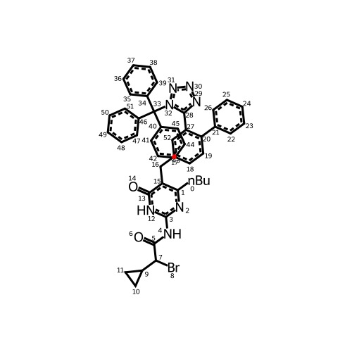 CCCCc1nc(NC(=O)C(Br)C2CC2)[nH]c(=O)c1Cc1ccc(-c2ccccc2)c(-c2nnnn2C(c2ccccc2)(c2ccccc2)c2ccccc2)c1